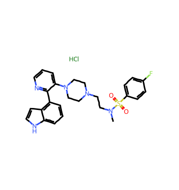 CN(CCN1CCN(c2cccnc2-c2cccc3[nH]ccc23)CC1)S(=O)(=O)c1ccc(F)cc1.Cl